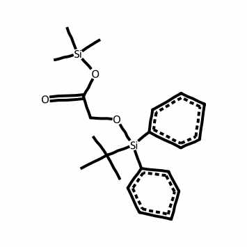 CC(C)(C)[Si](OCC(=O)O[Si](C)(C)C)(c1ccccc1)c1ccccc1